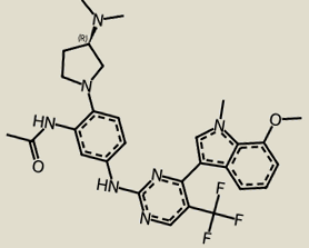 COc1cccc2c(-c3nc(Nc4ccc(N5CC[C@@H](N(C)C)C5)c(NC(C)=O)c4)ncc3C(F)(F)F)cn(C)c12